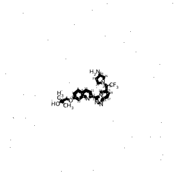 CC(C)(O)COc1ccc2ccc(-c3nnc4ccc([C@@H](N5CCC(N)C5)C(F)(F)F)cn34)nc2c1